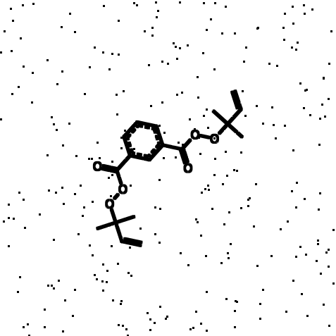 C=CC(C)(C)OOC(=O)c1cccc(C(=O)OOC(C)(C)C=C)c1